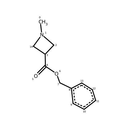 CN1CC(C(=O)OCc2ccccc2)C1